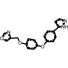 c1cc(-c2ccc(Oc3ccc(OCc4cocn4)cc3)cc2)[nH]n1